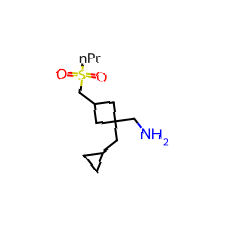 CCCS(=O)(=O)CC1CC(CN)(CC2CC2)C1